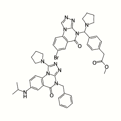 CC(C)Nc1ccc2c(c1)c(=O)n(Cc1ccccc1)c1nnc(N3CCCC3)n21.COC(=O)Cc1ccc(C(N2CCCC2)n2c(=O)c3cc(Br)ccc3n3cnnc23)cc1